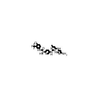 Cc1cc(Nc2cc(N)n[nH]2)nc(Nc2ccc(N(S)C(=O)Nc3ccc(Cl)c(C(F)(F)F)c3)nc2)n1